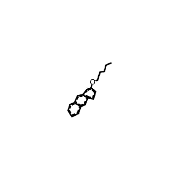 CCCCCOc1[c]c2cc3ccccc3cc2cc1